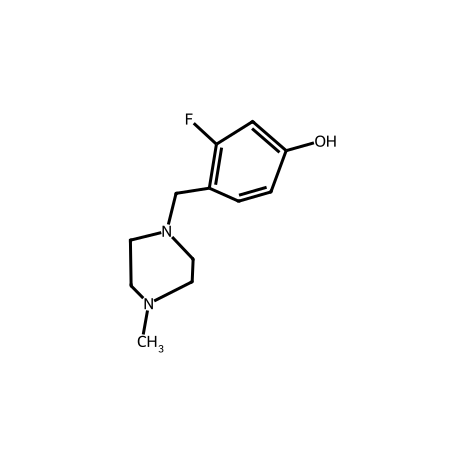 CN1CCN(Cc2ccc(O)cc2F)CC1